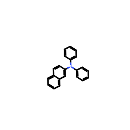 [c]1ccc2ccc(N(c3ccccc3)c3ccccc3)cc2c1